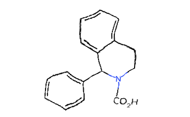 O=C(O)N1CCc2ccccc2C1c1ccccc1